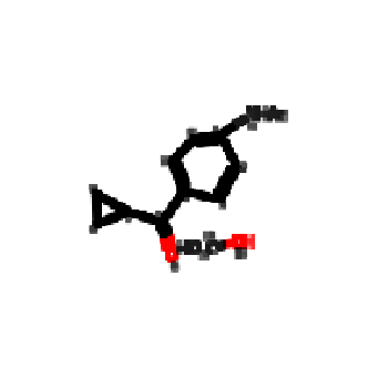 CC(=O)Nc1ccc(C(=O)C2CC2)cc1.O=C(O)O